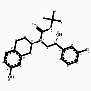 CC(C)(C)OC(=O)N(C[C@H](O)c1cccc(Cl)c1)[C@@H]1CCc2ccc(O)cc2C1